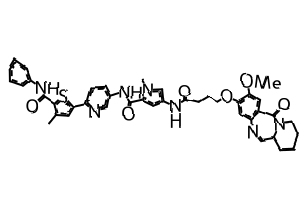 COc1cc2c(cc1OCCCC(=O)Nc1cc(C(=O)Nc3ccc(-c4cc(C)c(C(=O)Nc5ccccc5)s4)nc3)n(C)c1)N=CC1CCCCN1C2=O